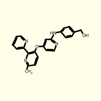 Cc1ccc(Oc2ccnc(Nc3ccc(CO)cc3)c2)c(-c2ccccn2)n1